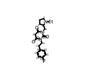 CCN1CCCC1CN1C(=O)CC(=O)N(CCc2ccc(F)cc2)C1=O